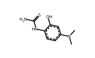 CN(C)c1ccc(NC(N)=S)c(O)c1